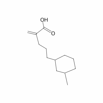 C=C(CCCC1CCCC(C)C1)C(=O)O